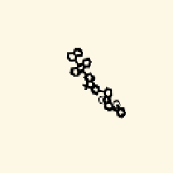 CC1(C)c2ccc(-c3cccc4c3oc3ccc5c6ccccc6oc5c34)cc2-c2ccc(-c3c4ccccc4c(-c4cccc5ccccc45)c4ccccc34)cc21